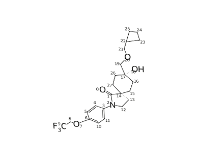 O=C1N(c2ccc(OCC(F)(F)F)cc2)CC[C@]12CC[C@](O)(COCC1CCC1)CC2